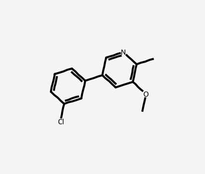 COc1cc(-c2cccc(Cl)c2)cnc1C